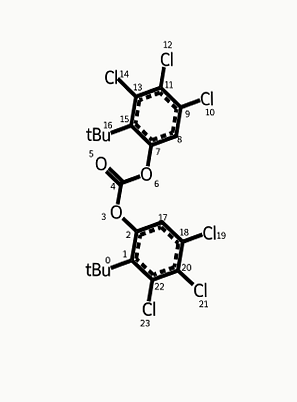 CC(C)(C)c1c(OC(=O)Oc2cc(Cl)c(Cl)c(Cl)c2C(C)(C)C)cc(Cl)c(Cl)c1Cl